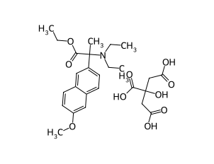 CCOC(=O)C(C)(c1ccc2cc(OC)ccc2c1)N(CC)CC.O=C(O)CC(O)(CC(=O)O)C(=O)O